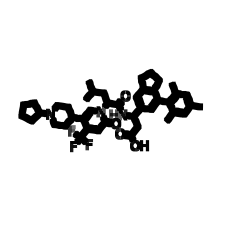 Cc1cc(C)c(-c2cc(C(CC(=O)O)NC(=O)C(CC(C)C)n3cc(C4CCN(C5CCCC5)CC4)c(C(F)(F)F)cc3=O)cc3c2CCC3)c(C)c1